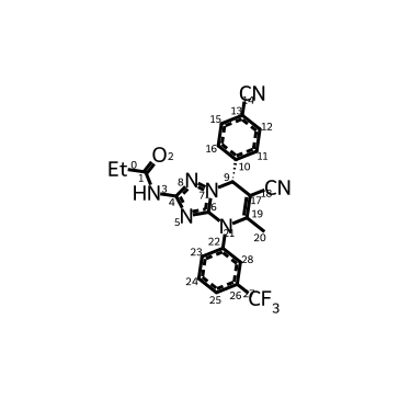 CCC(=O)Nc1nc2n(n1)[C@H](c1ccc(C#N)cc1)C(C#N)=C(C)N2c1cccc(C(F)(F)F)c1